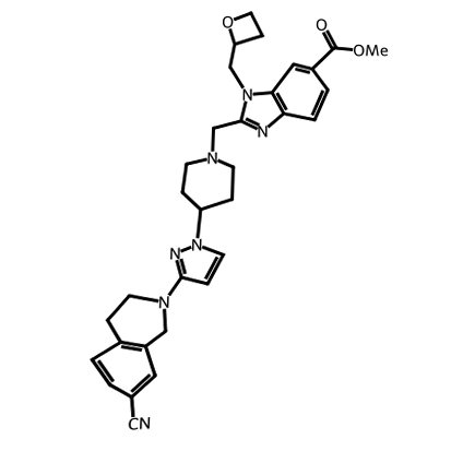 COC(=O)c1ccc2nc(CN3CCC(n4ccc(N5CCc6ccc(C#N)cc6C5)n4)CC3)n(CC3CCO3)c2c1